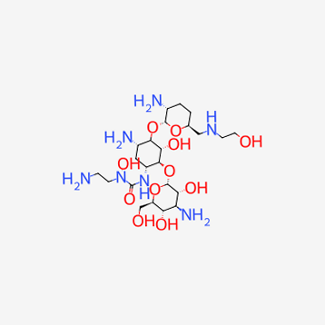 NCCN(O)C(=O)N[C@@H]1C[C@H](N)C(O[C@H]2O[C@H](CNCCO)CC[C@H]2N)[C@H](O)[C@H]1O[C@H]1O[C@H](CO)[C@@H](O)[C@H](N)[C@H]1O